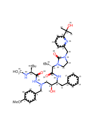 COc1ccc(CN(C[C@H](O)[C@H](Cc2ccccc2)NC(=O)[C@@H](N2CCN(Cc3cccc(C(C)(C)O)n3)C2=O)C(C)(C)C)NC(=O)[C@@H](NC(=O)O)C(C)(C)C)cc1